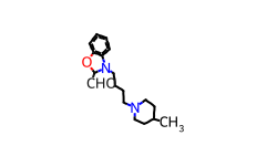 CC1CCN(CCCCN2c3ccccc3OC2C=O)CC1